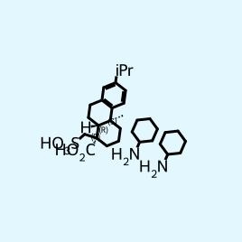 CC(C)c1ccc2c(c1)CC[C@H]1[C@@](CS(=O)(=O)O)(C(=O)O)CCC[C@]21C.NC1CCCCC1.NC1CCCCC1